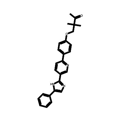 CC(=O)C(C)(C)COc1ccc(-c2ccc(-c3ncc(-c4ccccc4)[nH]3)cn2)cc1